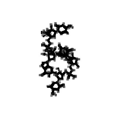 Cc1nc2c(ncn2[C@@H]2O[C@@]3(COP(=O)(S)OC4[C@@H]5O[C@@H](C)[C@@]4(COP(=O)(S)OC4C[C@H](n6cc(C)c(N)nc6=O)O[C@@H]4C)O[C@H]5n4cc(C)c(=O)[nH]c4=O)C(OP(=O)(S)OC[C@@]45O[C@@H](n6cc(C)c(N)nc6=O)[C@@H](O[C@H]4C)C5O)[C@@H]2O[C@H]3C)c(=O)[nH]1